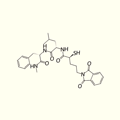 CNC(=O)[C@H](Cc1ccccc1)NC(=O)[C@H](CC(C)C)NC(=O)[C@@H](S)CCCN1C(=O)c2ccccc2C1=O